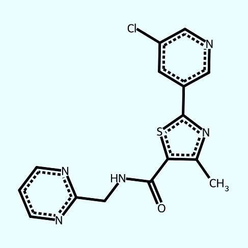 Cc1nc(-c2cncc(Cl)c2)sc1C(=O)NCc1ncccn1